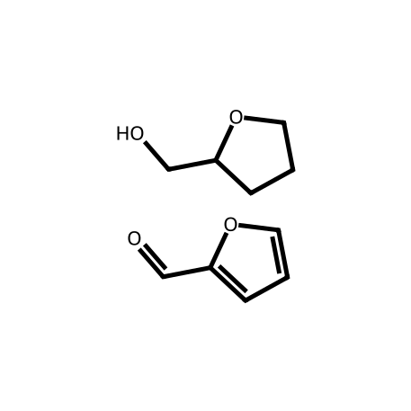 O=Cc1ccco1.OCC1CCCO1